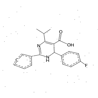 CC(C)C1=C(C(=O)O)C(c2ccc(F)cc2)NC(c2ccccc2)=N1